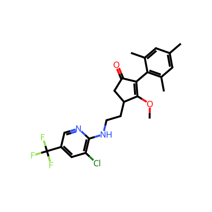 COC1=C(c2c(C)cc(C)cc2C)C(=O)CC1CCNc1ncc(C(F)(F)F)cc1Cl